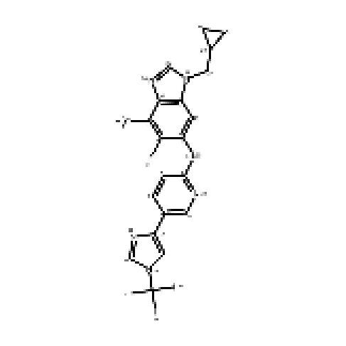 Cc1c(F)c(Nc2ccc(-c3cn(C(I)(I)I)cn3)cn2)cc2c1ncn2CC1CC1